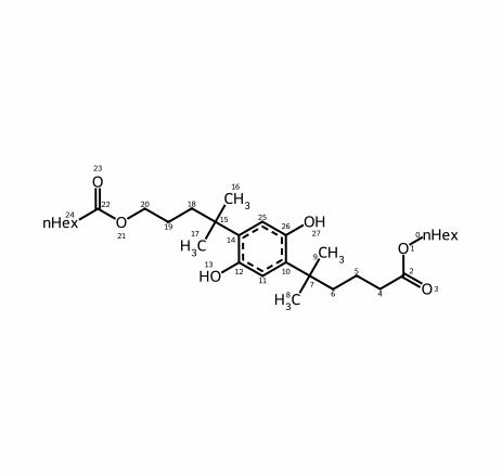 CCCCCCOC(=O)CCCC(C)(C)c1cc(O)c(C(C)(C)CCCOC(=O)CCCCCC)cc1O